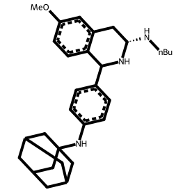 CCCCN[C@H]1Cc2cc(OC)ccc2C(c2ccc(NC34CC5CC(CC(C5)C3)C4)cc2)N1